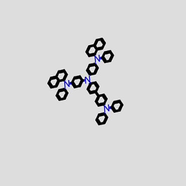 c1ccc(N(c2ccccc2)c2ccc(-c3ccc(N(c4ccc(N(c5ccccc5)c5cccc6ccccc56)cc4)c4ccc(N(c5ccccc5)c5cccc6ccccc56)cc4)cc3)cc2)cc1